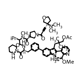 CCn1c(-c2cccnc2[C@H](C)OC)c(CC(C)(C)COC(C)=O)c2cc(-c3cccc(C[C@H](NC(=O)C(C(C)C)N(C)C(=O)[C@H]4CCN(C(=O)C#C[C@@]5(N(C)C)CCOC5)C4)C(=O)N4CCCCN4)c3)ccc21